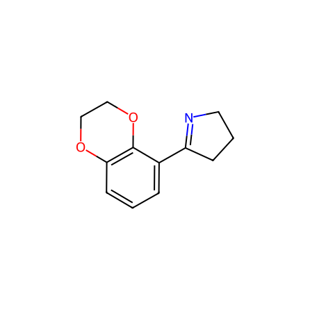 c1cc2c(c(C3=NCCC3)c1)OCCO2